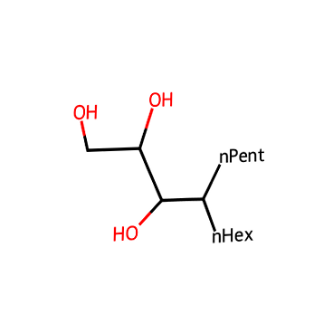 CCCCCCC(CCCCC)C(O)C(O)CO